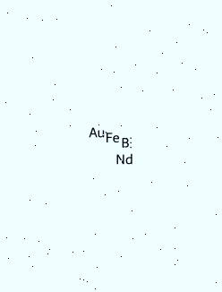 [Au].[B].[Fe].[Nd]